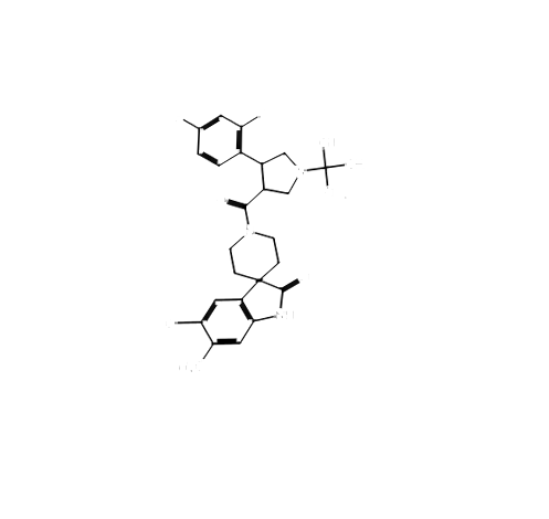 Cc1cc2c(cc1Cl)C1(CCN(C(=O)C3CN(C(C)(C)C)CC3c3ccc(F)cc3F)CC1)C(=O)N2